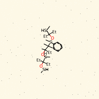 CCC(CC)(O[Si](C)(c1ccccc1)C(C)(C)C(C)(CC)O[SiH](C)C(CC)(CC)O[SiH](C)C)[SiH](C)C